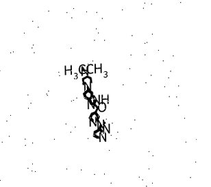 CN(C)C1CCN(c2ccc3nc(C(=O)c4ccnc(-n5cnc6ncccc65)c4)[nH]c3c2)CC1